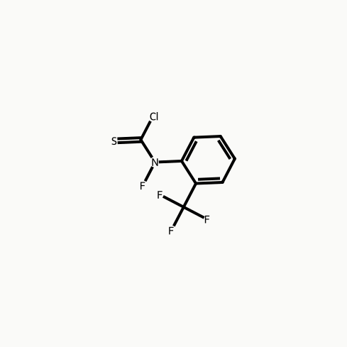 FN(C(=S)Cl)c1ccccc1C(F)(F)F